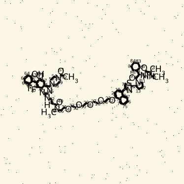 CN[C@@H](C)C(=O)N[C@H](C(=O)N1CCC[C@H]1c1nc(-c2ccc(OCCOCCOCCOCCOCCN(C)C(=O)CCNc3nc(N4CCN(C(C)=O)CC4)c4cc(Cl)c(-c5c(O)cccc5F)c(F)c4n3)c3ccccc23)cs1)C1CCCCC1